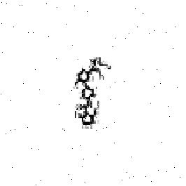 CSc1nnc(-c2ccc(C)c(-c3ccc(NC(=O)c4c(F)cccc4F)cc3)c2)n1C